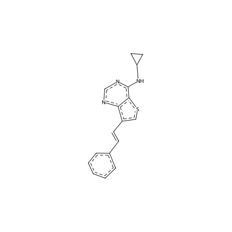 C(=Cc1csc2c(NC3CC3)ncnc12)c1ccccc1